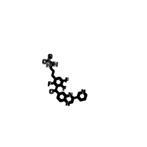 O=C(c1ccc2ncc(-c3cccnc3)nc2c1)c1c(F)c(F)cc(CCCN[SH](=O)=O)c1F